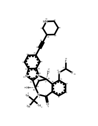 [2H]C([2H])([2H])N1C(=O)c2cccc(OC(F)F)c2[C@H]2C[C@@H]1c1nc3ccc(C#CC4CCCNC4)cc3n12